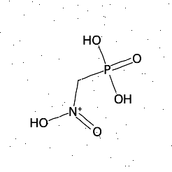 O=[N+](O)CP(=O)(O)O